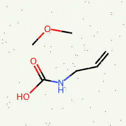 C=CCNC(=O)O.COC